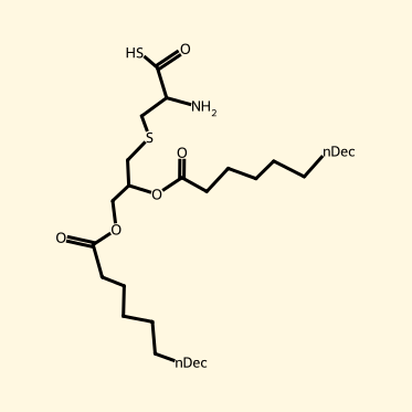 CCCCCCCCCCCCCCCC(=O)OCC(CSCC(N)C(=O)S)OC(=O)CCCCCCCCCCCCCCC